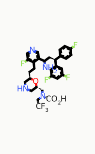 NC(C[C@@H](c1ccc(F)cc1)c1cc(F)cc(F)c1)c1cncc(F)c1CC[C@@H]1CNC[C@@H](CN(CC(F)(F)F)C(=O)O)O1